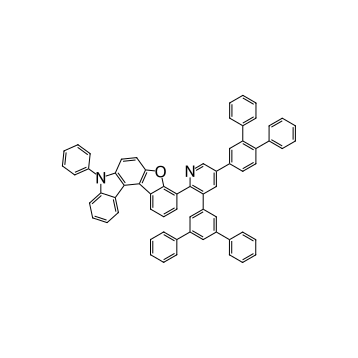 c1ccc(-c2cc(-c3ccccc3)cc(-c3cc(-c4ccc(-c5ccccc5)c(-c5ccccc5)c4)cnc3-c3cccc4c3oc3ccc5c(c6ccccc6n5-c5ccccc5)c34)c2)cc1